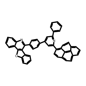 c1ccc(-c2cc(-c3ccc(-c4nc5ccccc5c5oc6ccccc6c45)cc3)cc(-c3ccc4ccc5cccc6ccc3c4c56)n2)cc1